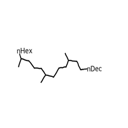 CCCCCCCCCCCCC(C)CCCC(C)CCCC(C)CCCCCC